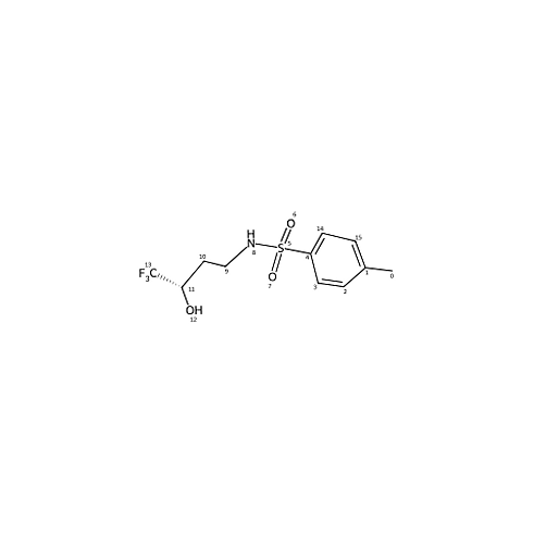 Cc1ccc(S(=O)(=O)NCC[C@H](O)C(F)(F)F)cc1